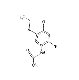 O=C(Nc1cc(SCC(F)(F)F)c(Cl)cc1F)C(F)(F)F